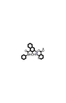 COC(=O)c1cccnc1/N=N/c1cc2ccccc2c(C(=O)Nc2ccccc2)c1O